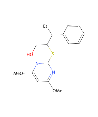 CCC(c1ccccc1)C(CO)Sc1nc(OC)cc(OC)n1